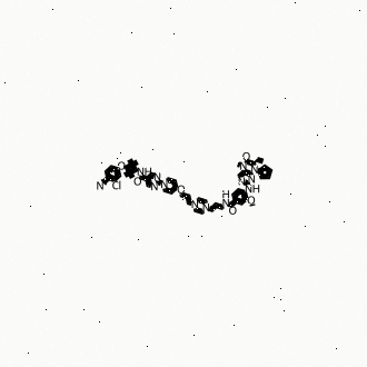 CC[C@@H]1C(=O)N(C)c2cnc(Nc3ccc(C(=O)NCCCN4CCN(CCCOC5CCN(c6ncc(C(=O)N[C@H]7C(C)(C)[C@H](Oc8ccc(C#N)c(Cl)c8)C7(C)C)cn6)CC5)CC4)cc3OC)nc2N1C1CCCC1